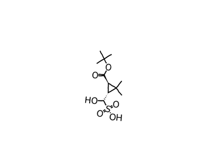 CC(C)(C)OC(=O)[C@@H]1[C@@H](C(O)S(=O)(=O)O)C1(C)C